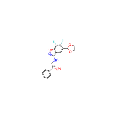 O[C@@H](CNc1noc2c(F)c(F)c(C3OCCO3)cc12)c1ccccc1